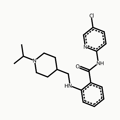 CC(C)N1CCC(CNc2ccccc2C(=O)Nc2ccc(Cl)cn2)CC1